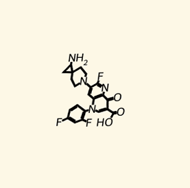 NC1CC12CCN(c1cc3c(nc1F)c(=O)c(C(=O)O)cn3-c1ccc(F)cc1F)CC2